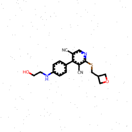 N#Cc1cnc(SCC2COC2)c(C#N)c1-c1ccc(NCCO)cc1